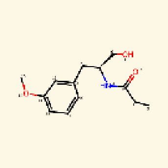 CCC(=O)N[C@H](CO)Cc1cccc(OC)c1